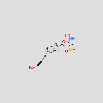 C[C@@](CCc1nc2ccc(C#CC#CCO)cc2s1)(C(=O)NO)S(C)(=O)=O